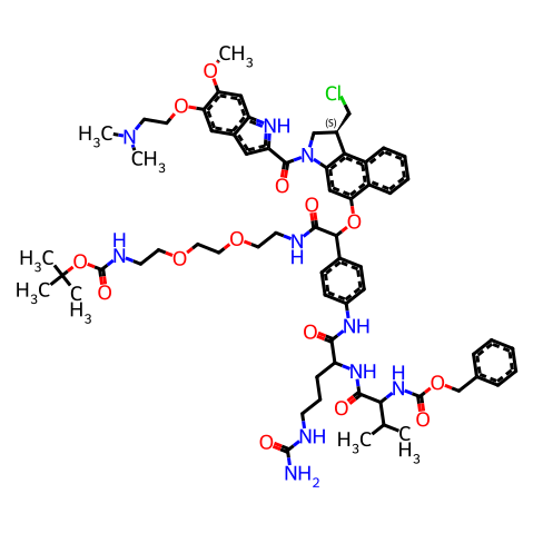 COc1cc2[nH]c(C(=O)N3C[C@@H](CCl)c4c3cc(OC(C(=O)NCCOCCOCCNC(=O)OC(C)(C)C)c3ccc(NC(=O)C(CCCNC(N)=O)NC(=O)C(NC(=O)OCc5ccccc5)C(C)C)cc3)c3ccccc43)cc2cc1OCCN(C)C